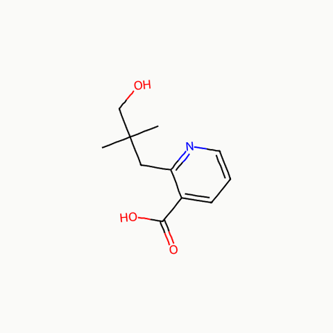 CC(C)(CO)Cc1ncccc1C(=O)O